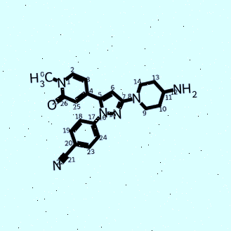 Cn1ccc(-c2cc(N3CCC(N)CC3)nn2-c2ccc(C#N)cc2)cc1=O